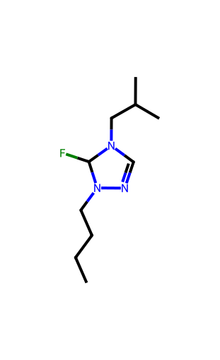 CCCCN1N=CN(CC(C)C)C1F